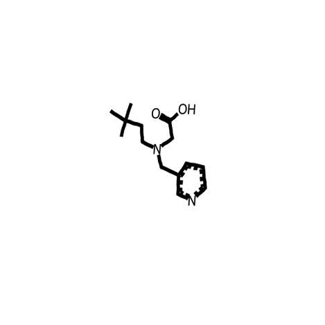 CC(C)(C)CCN(CC(=O)O)Cc1cccnc1